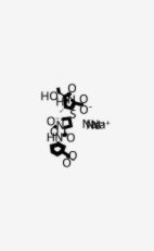 CC(O)[C@H]1C(=O)N2C(C(=O)[O-])=C(S[C@H]3C[C@@H](C(=O)Nc4cccc(C(=O)[O-])c4)N(C(=O)[O-])C3)[C@H](C)[C@H]12.[Na+].[Na+].[Na+]